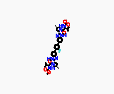 COC(=O)N[C@H](C(=O)N1C[C@@H](C)C[C@H]1c1nc2cc(-c3ccc(-c4ccc5[nH]c([C@@H]6C[C@H](C)CN6C(=O)[C@@H](NC(=O)OC)C(C)C)nc5c4)c(F)c3)ccc2[nH]1)C(C)C